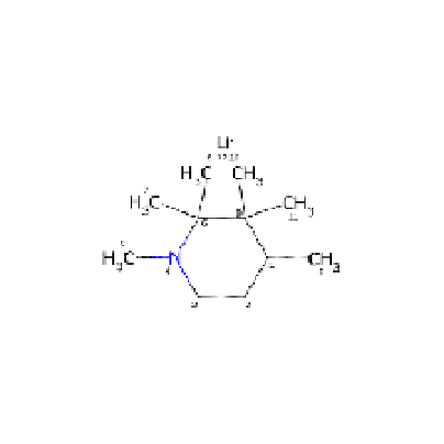 CC1CCN(C)C(C)(C)C1(C)C.[Li]